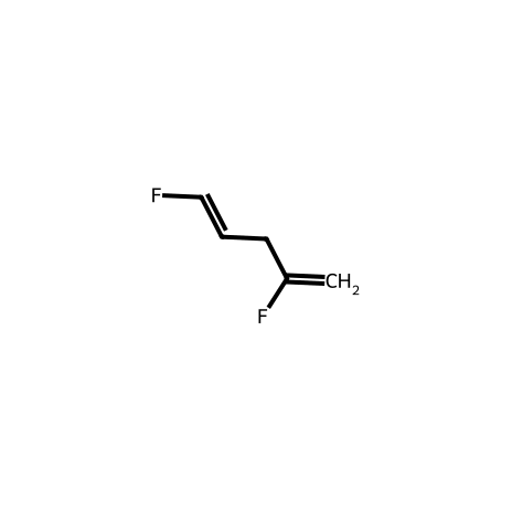 C=C(F)CC=CF